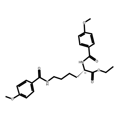 CCOC(=O)[C@H](CCCCNC(=O)c1ccc(OC)cc1)NC(=O)c1ccc(OC)cc1